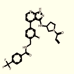 C=CC(=O)N1CCC(Nc2n[nH]c3nccc(-c4ccc(CNC(=O)c5ccc(C(F)(F)F)cc5)c(F)c4)c23)C1